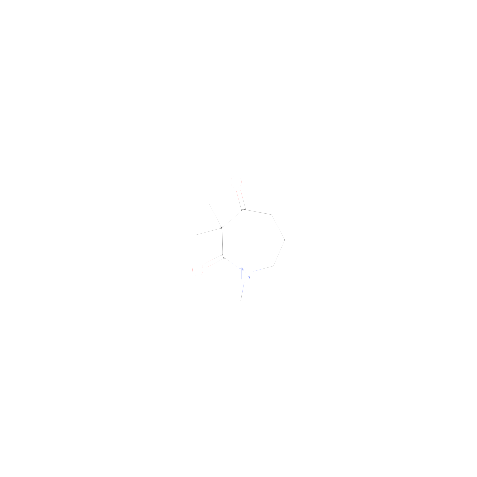 CN1CCCC(=O)C(C)(C)C1=O